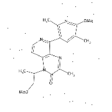 COCC(C)n1c(=O)c(C)nc2c(-c3cc(C)c(OC)nc3C)nccc21